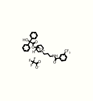 O=C(NCCC[N+]12CCC(CC1)[C@@H](OC(=O)C(O)(c1ccccc1)c1ccccc1)C2)c1cccc(C(F)(F)F)c1.O=C([O-])C(F)(F)F